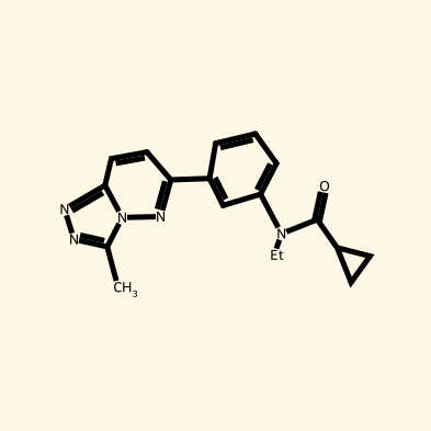 CCN(C(=O)C1CC1)c1cccc(-c2ccc3nnc(C)n3n2)c1